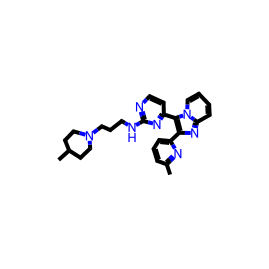 Cc1cccc(-c2nc3ccccn3c2-c2ccnc(NCCCN3CCC(C)CC3)n2)n1